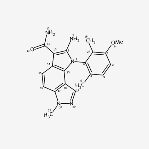 COc1ccc(C)c(-n2c(N)c(C(N)=O)c3ccc4c(cnn4C)c32)c1C